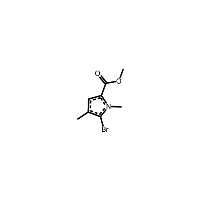 COC(=O)c1cc(C)c(Br)n1C